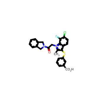 Cc1c(Sc2cccc(C(=O)O)c2)c2ccc(Cl)c(F)c2n1CC(=O)N1Cc2ccccc2C1